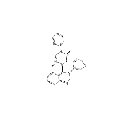 C[C@H]1CN(c2ccccn2)[C@@H](C)CN1C1=c2ccccc2=NCN1c1ccccc1